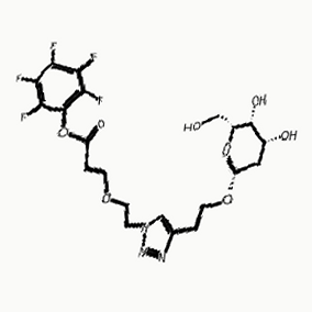 O=C(CCOCCn1cc(CCO[C@H]2C[C@@H](O)[C@@H](O)[C@@H](CO)O2)nn1)Oc1c(F)c(F)c(F)c(F)c1F